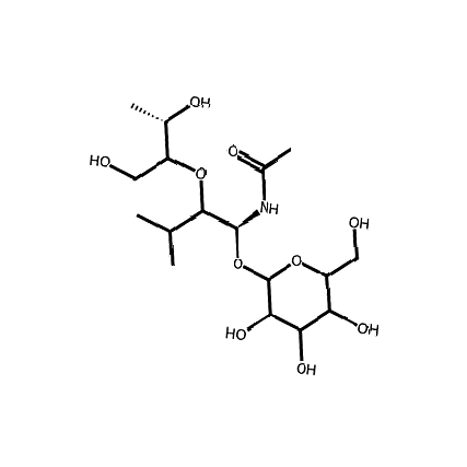 CC(=O)N[C@@H](OC1OC(CO)C(O)C(O)C1O)C(OC(CO)[C@H](C)O)C(C)C